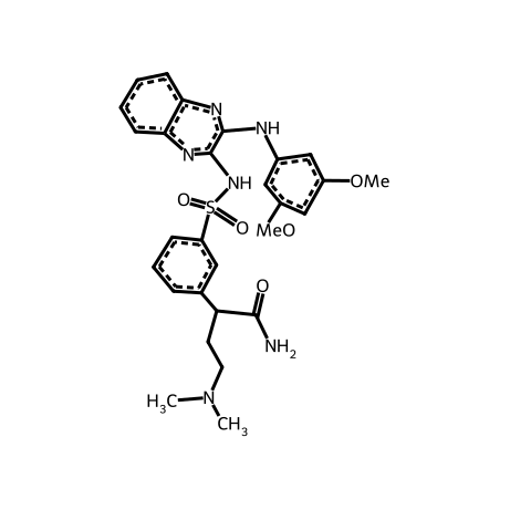 COc1cc(Nc2nc3ccccc3nc2NS(=O)(=O)c2cccc(C(CCN(C)C)C(N)=O)c2)cc(OC)c1